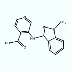 CN1NC(Nc2cnccc2C(=O)O)c2ccccc21